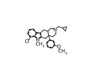 COc1cccc(C23CCN(CC4CC4)CC2Cc2c(n(C)c4c(Cl)cccc24)C3)c1